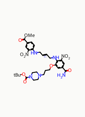 COC(=O)c1ccc(NC/C=C/CNc2c(OCCCN3CCN(C(=O)OC(C)(C)C)CC3)cc(C(N)=O)cc2[N+](=O)[O-])c([N+](=O)[O-])c1